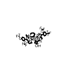 CCN1CCC[C@@H](Nc2nnc(-c3ccc(C(F)(F)F)cc3OC(F)F)c3cnc(C4[C@@H](Nc5nnc(-c6ccc(OC(F)F)cc6OC(F)F)c6cccn56)C[C@]4(C)O)n23)C1